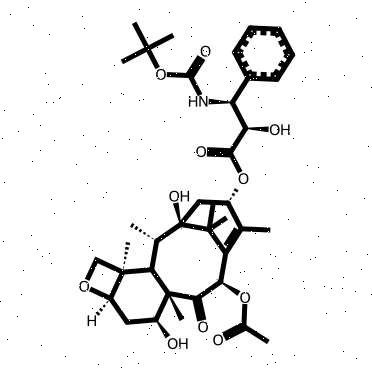 CC(=O)O[C@H]1C(=O)[C@@]2(C)C([C@H](C)[C@]3(O)C[C@H](OC(=O)[C@H](O)[C@@H](NC(=O)OC(C)(C)C)c4ccccc4)C(C)=C1C3(C)C)[C@]1(C)CO[C@@H]1C[C@@H]2O